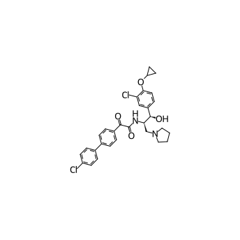 O=C(N[C@H](CN1CCCC1)[C@H](O)c1ccc(OC2CC2)c(Cl)c1)C(=O)c1ccc(-c2ccc(Cl)cc2)cc1